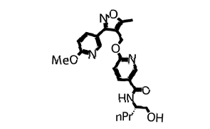 CCC[C@@H](CO)NC(=O)c1ccc(OCc2c(-c3ccc(OC)nc3)noc2C)nc1